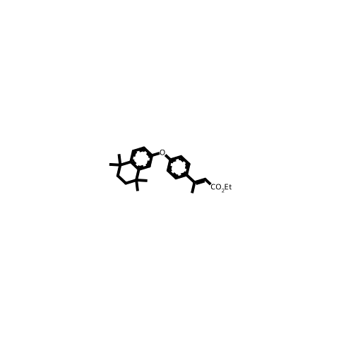 CCOC(=O)C=C(C)c1ccc(Oc2ccc3c(c2)C(C)(C)CCC3(C)C)cc1